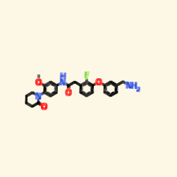 COc1cc(NC(=O)Cc2cccc(Oc3cccc(CN)c3)c2F)ccc1N1CCCCC1=O